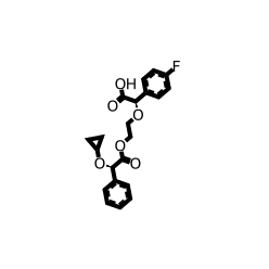 O=C(O)[C@@H](OCCOC(=O)[C@@H](OC1CC1)c1ccccc1)c1ccc(F)cc1